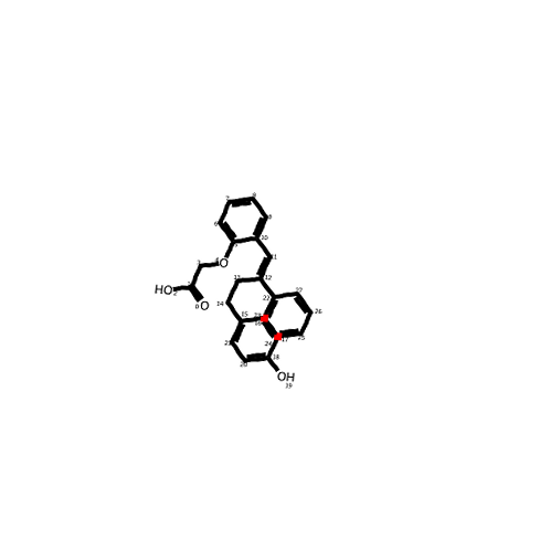 O=C(O)COc1ccccc1/C=C(\CCc1ccc(O)cc1)c1ccccc1